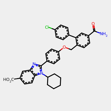 NC(=O)c1ccc(COc2ccc(-c3nc4cc(C(=O)O)ccc4n3C3CCCCC3)cc2)c(-c2ccc(Cl)cc2)c1